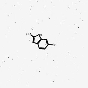 Oc1cc2ccc(Br)cc2[nH]1